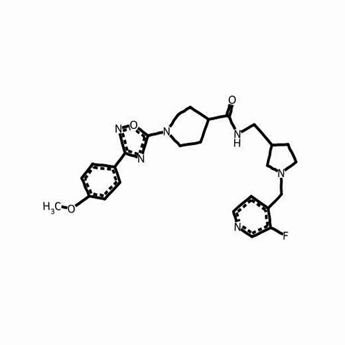 COc1ccc(-c2noc(N3CCC(C(=O)NCC4CCN(Cc5ccncc5F)C4)CC3)n2)cc1